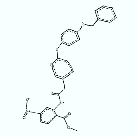 COC(=O)c1ccc([N+](=O)[O-])cc1NC(=O)Cc1ccc(Oc2ccc(OCc3ccccc3)cc2)nc1